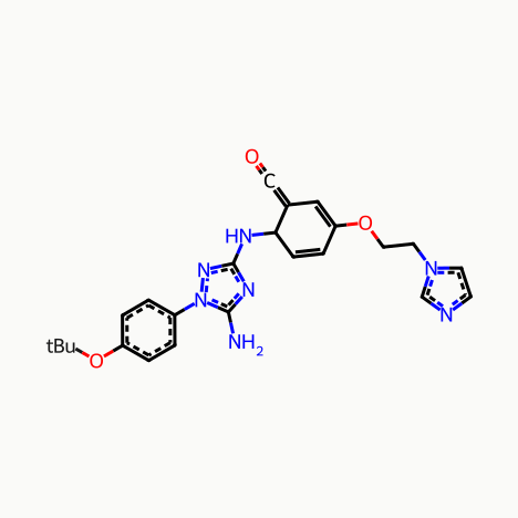 CC(C)(C)Oc1ccc(-n2nc(NC3C=CC(OCCn4ccnc4)=CC3=C=O)nc2N)cc1